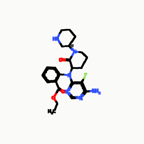 CCOC(=O)c1ccccc1N(c1ncnc(N)c1F)C1CCCN([C@@H]2CCCNC2)C1=O